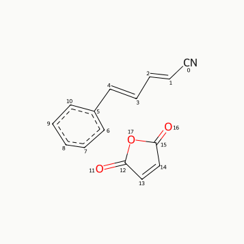 N#CC=CC=Cc1ccccc1.O=C1C=CC(=O)O1